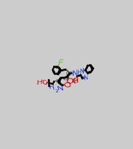 CC(C)(O)CC[C@H](C[C@H](O)[C@H](Cc1ccccc1F)NC(=O)c1cnc2ccccc2n1)C(N)=O